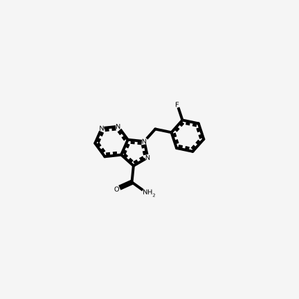 NC(=O)c1nn(Cc2ccccc2F)c2nnccc12